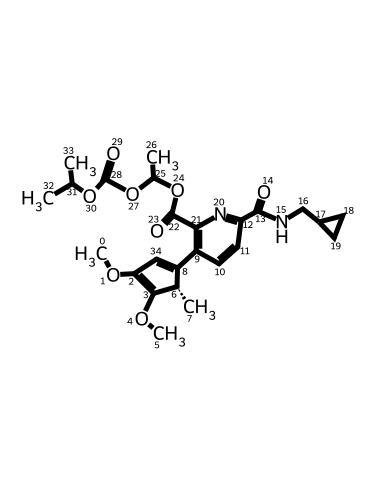 COC1=C(OC)[C@@H](C)C(c2ccc(C(=O)NCC3CC3)nc2C(=O)OC(C)OC(=O)OC(C)C)=C1